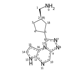 NC[C@@H]1CCC(c2nnc3cnc4[nH]ccc4n23)C1